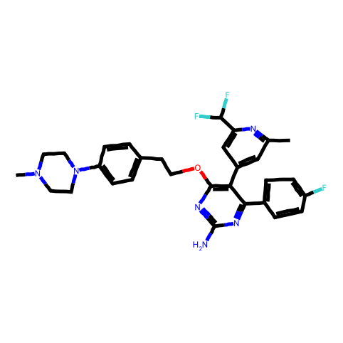 Cc1cc(-c2c(OCCc3ccc(N4CCN(C)CC4)cc3)nc(N)nc2-c2ccc(F)cc2)cc(C(F)F)n1